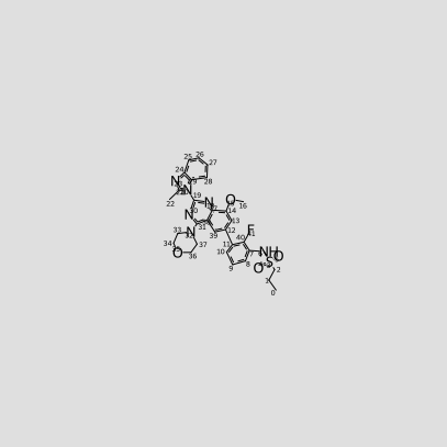 CCCS(=O)(=O)Nc1cccc(-c2cc(OC)c3nc(-n4c(C)nc5ccccc54)nc(N4CCOCC4)c3c2)c1F